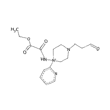 CCOC(=O)C(=O)N[N+]1(c2ccccn2)CCN(CCC=O)CC1